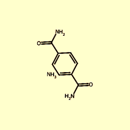 N.NC(=O)c1ccc(C(N)=O)cc1